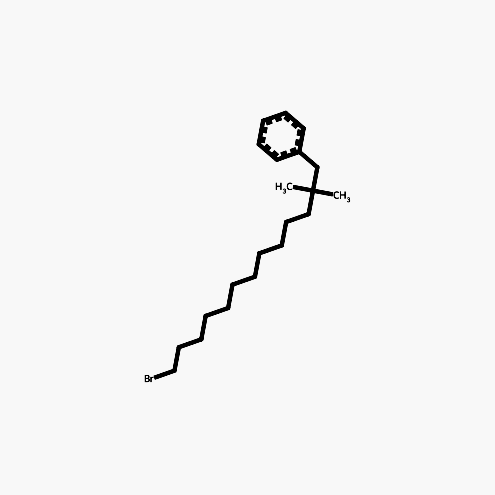 CC(C)(CCCCCCCCCCCBr)Cc1ccccc1